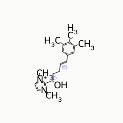 Cc1cc(/C=C/C/C=C(\O)c2n(C)cc[n+]2C)cc(C)c1C